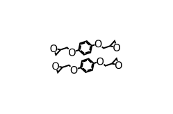 c1cc(OCC2CO2)ccc1OCC1CO1.c1cc(OCC2CO2)ccc1OCC1CO1